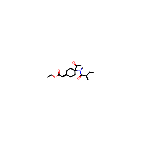 CCOC(=O)C=C1CCC(C(C)=O)(N(C)C(=O)C(C)CC)CC1